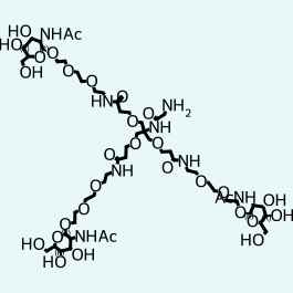 CC(=O)NC1C(O)[C@@H](O)C(CO)O[C@H]1OCCOCCOCCNC(=O)CCOCC(COCCC(=O)NCCOCCOCCO[C@@H]1OC(CO)[C@H](O)C(O)C1NC(C)=O)(COCCC(=O)NCCOCCOCCO[C@@H]1OC(CO)[C@H](O)C(O)C1NC(C)=O)NC(=O)CN